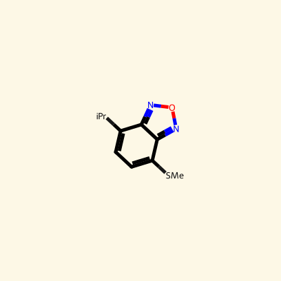 CSc1ccc(C(C)C)c2nonc12